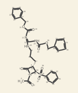 CC(=O)N1C(=O)[C@H](CCCNC(=NC(=O)OCc2ccccc2)NC(=O)OCc2ccccc2)[C@H]1S(=O)(=O)c1ccccc1